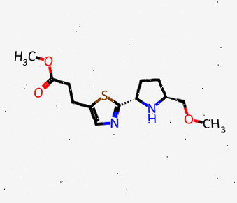 COC[C@@H]1CC[C@@H](c2ncc(CCC(=O)OC)s2)N1